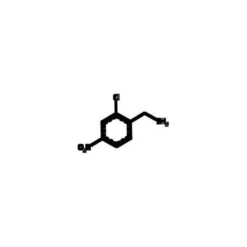 BCc1ccc([N+](=O)[O-])cc1Cl